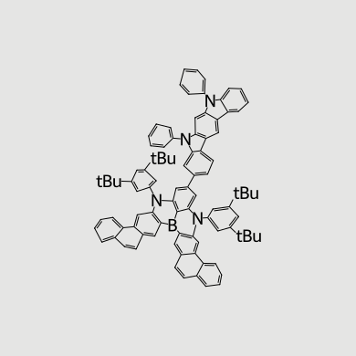 CC(C)(C)c1cc(N2c3cc4c(ccc5ccccc54)cc3B3c4cc5ccc6ccccc6c5cc4N(c4cc(C(C)(C)C)cc(C(C)(C)C)c4)c4cc(-c5ccc6c7cc8c9ccccc9n(-c9ccccc9)c8cc7n(-c7ccccc7)c6c5)cc2c43)cc(C(C)(C)C)c1